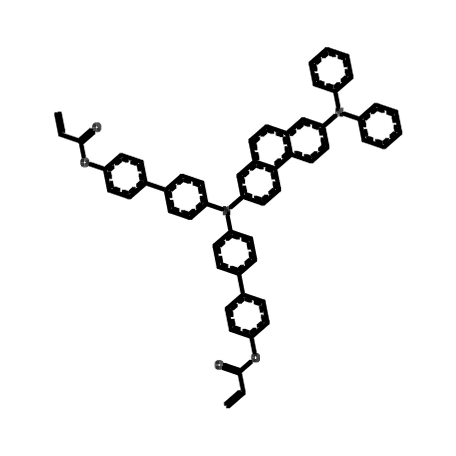 C=CC(=O)Oc1ccc(-c2ccc(N(c3ccc(-c4ccc(OC(=O)C=C)cc4)cc3)c3ccc4c(ccc5cc(N(c6ccccc6)c6ccccc6)ccc54)c3)cc2)cc1